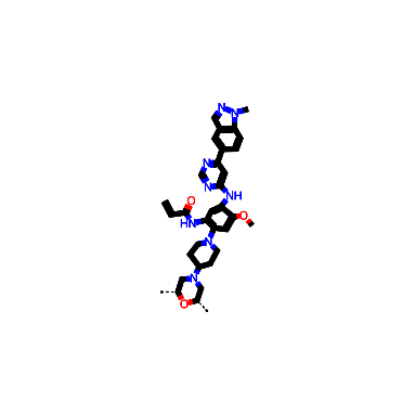 C=CC(=O)Nc1cc(Nc2cc(-c3ccc4c(cnn4C)c3)ncn2)c(OC)cc1N1CCC(N2C[C@@H](C)O[C@@H](C)C2)CC1